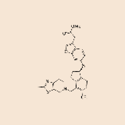 COC(=O)Cc1coc2cc(O[C@@H]3CCc4c3ccc(C(F)(F)F)c4CN3CCc4nc(C)sc4C3)ccc12